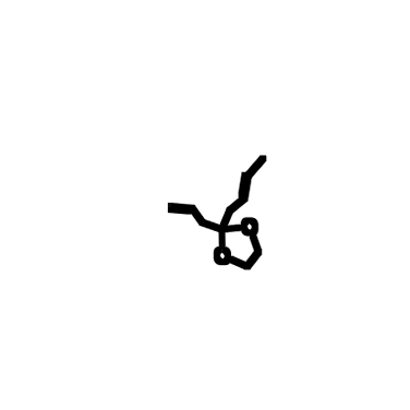 C=CCC1(CC=CC)OCCO1